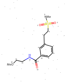 CNS(=O)(=O)CCc1cccc(C(=O)NCCOC)c1